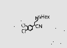 CCCCCCN=CCC(C#N)c1ccc(Cl)c(Cl)c1